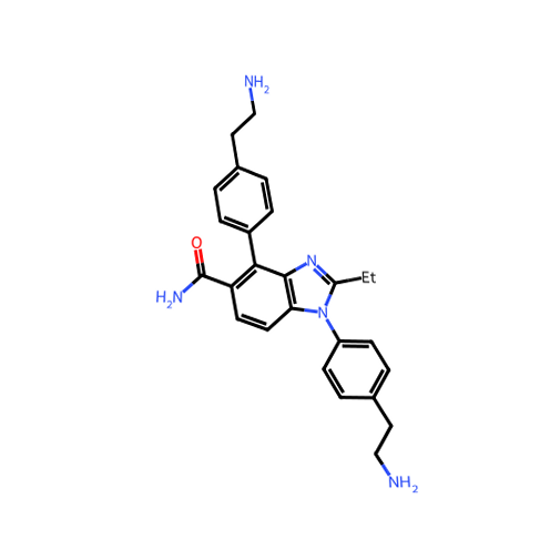 CCc1nc2c(-c3ccc(CCN)cc3)c(C(N)=O)ccc2n1-c1ccc(CCN)cc1